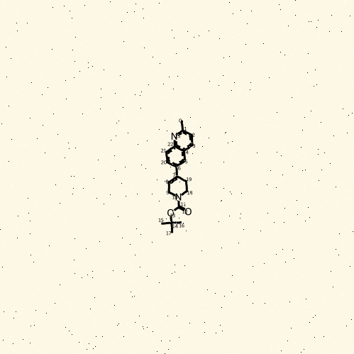 Cc1ccc2cc(C3=CCN(C(=O)OC(C)(C)C)CC3)ccc2n1